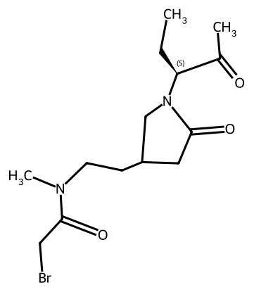 CC[C@@H](C(C)=O)N1CC(CCN(C)C(=O)CBr)CC1=O